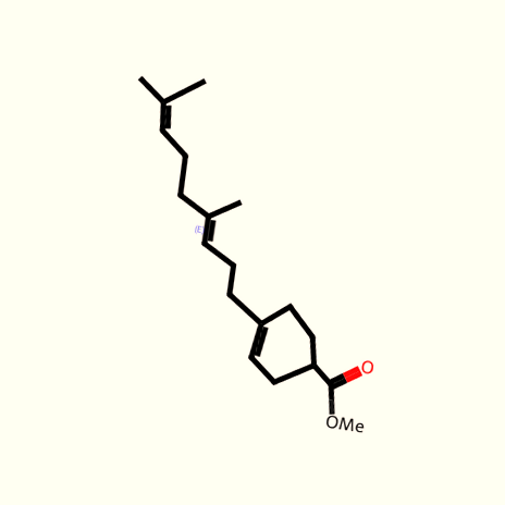 COC(=O)C1CC=C(CC/C=C(\C)CCC=C(C)C)CC1